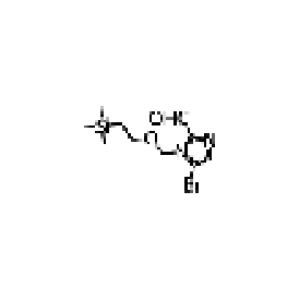 C[Si](C)(C)CCOCn1c(Br)cnc1C=O